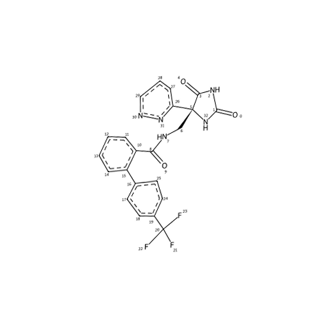 O=C1NC(=O)[C@@](CNC(=O)c2ccccc2-c2ccc(C(F)(F)F)cc2)(c2cccnn2)N1